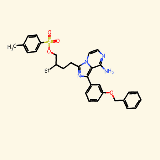 CCC(CCc1nc(-c2cccc(OCc3ccccc3)c2)c2c(N)nccn12)COS(=O)(=O)c1ccc(C)cc1